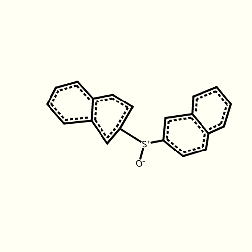 [O-][S+](c1ccc2ccccc2c1)c1ccc2ccccc2c1